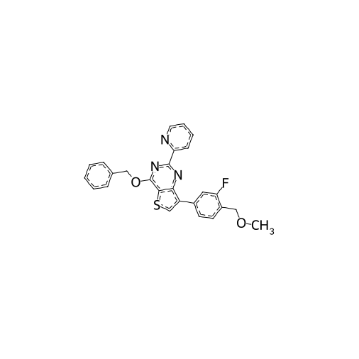 COCc1ccc(-c2csc3c(OCc4ccccc4)nc(-c4ccccn4)nc23)cc1F